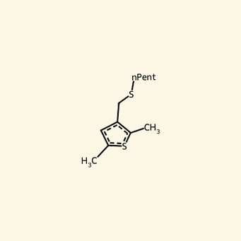 CCCCCSCc1cc(C)sc1C